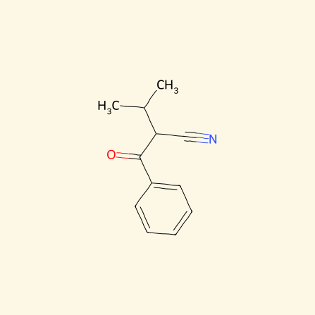 CC(C)C(C#N)C(=O)c1ccccc1